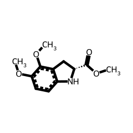 COC(=O)[C@H]1Cc2c(ccc(OC)c2OC)N1